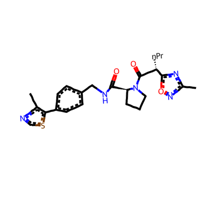 CCC[C@@H](C(=O)N1CCC[C@H]1C(=O)NCc1ccc(-c2scnc2C)cc1)c1nc(C)no1